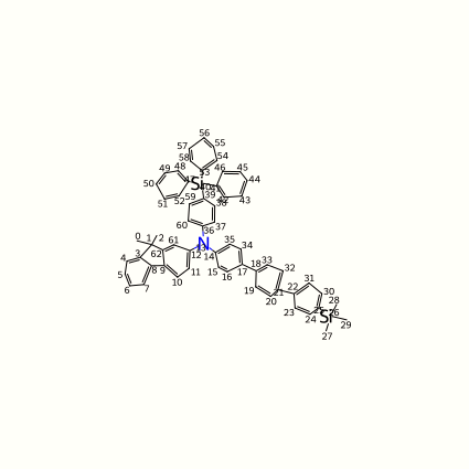 CC1(C)c2ccccc2-c2ccc(N(c3ccc(-c4ccc(-c5ccc([Si](C)(C)C)cc5)cc4)cc3)c3ccc([Si](c4ccccc4)(c4ccccc4)c4ccccc4)cc3)cc21